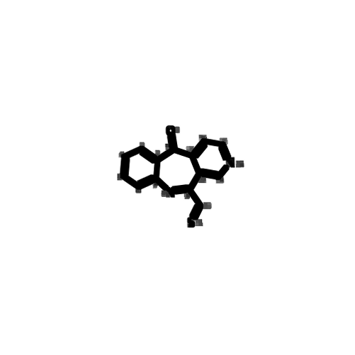 O=c1c2ccccc2nc(C=S)c2cnccc12